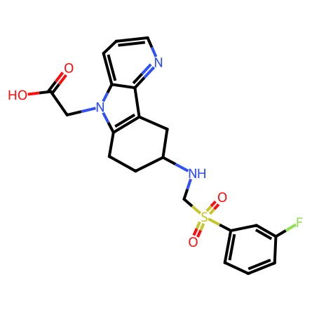 O=C(O)Cn1c2c(c3ncccc31)CC(NCS(=O)(=O)c1cccc(F)c1)CC2